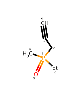 C#CCP(C)(=O)CC